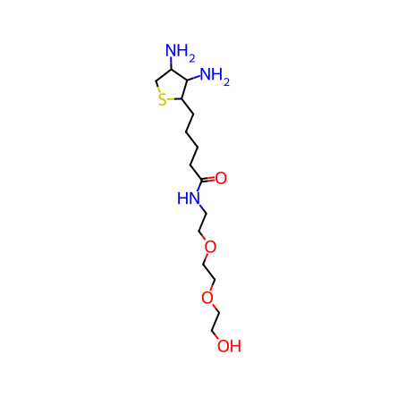 NC1CSC(CCCCC(=O)NCCOCCOCCO)C1N